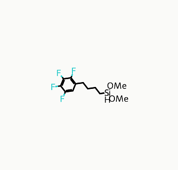 CO[SiH](CCCCc1cc(F)c(F)c(F)c1F)OC